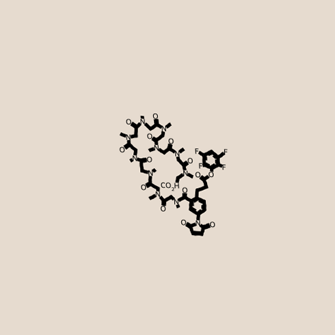 CN(CC(=O)O)C(=O)CN(C)C(=O)CN(C)C(=O)CN(C)C(=O)CN(C)C(=O)CN(C)C(=O)CN(C)C(=O)CN(C)C(=O)CN(C)C(=O)CN(C)C(=O)c1cc(N2C(=O)C=CC2=O)ccc1CCC(=O)Oc1c(F)c(F)cc(F)c1F